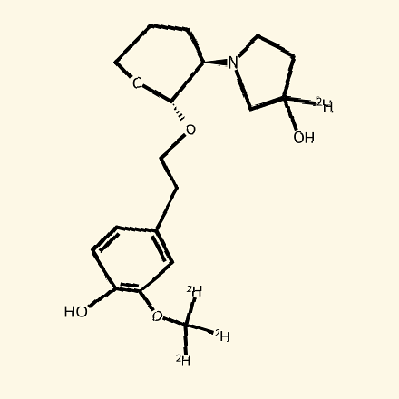 [2H]C1(O)CCN([C@@H]2CCCC[C@H]2OCCc2ccc(O)c(OC([2H])([2H])[2H])c2)C1